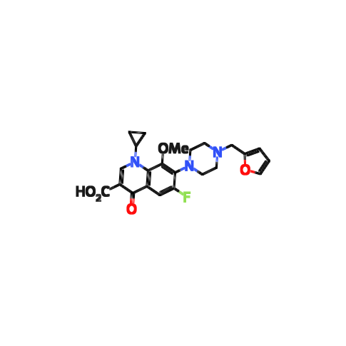 COc1c(N2CCN(Cc3ccco3)CC2)c(F)cc2c(=O)c(C(=O)O)cn(C3CC3)c12